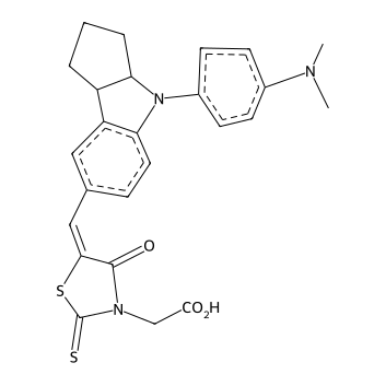 CN(C)c1ccc(N2c3ccc(/C=C4/SC(=S)N(CC(=O)O)C4=O)cc3C3CCCC32)cc1